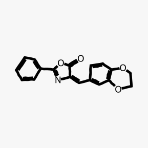 O=C1OC(c2ccccc2)=NC1=Cc1ccc2c(c1)OCCO2